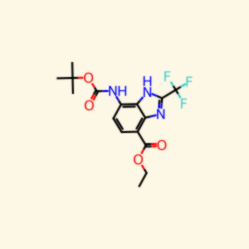 CCOC(=O)c1ccc(NC(=O)OC(C)(C)C)c2[nH]c(C(F)(F)F)nc12